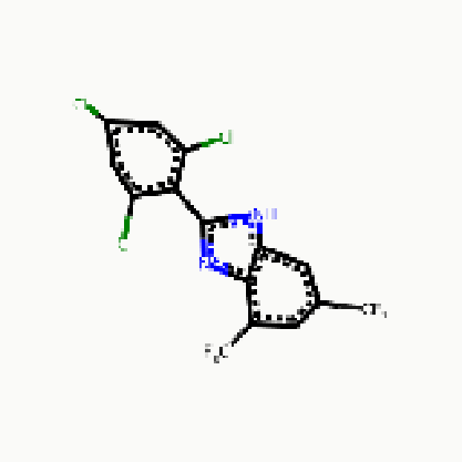 FC(F)(F)c1cc(C(F)(F)F)c2nc(-c3c(Cl)cc(Cl)cc3Cl)[nH]c2c1